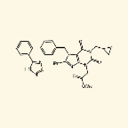 COC(=O)Cn1c(=O)n(CC2CC2)c(=O)c2c1nc(C(C)C)n2Cc1ccc(-c2ccccc2-c2nnn[nH]2)cc1